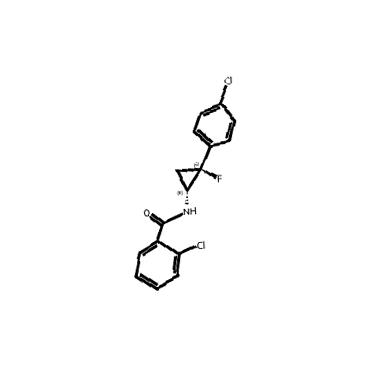 O=C(N[C@@H]1C[C@]1(F)c1ccc(Cl)cc1)c1ccccc1Cl